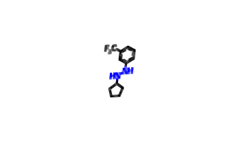 FC(F)(F)c1cccc(NNC2CCCC2)c1